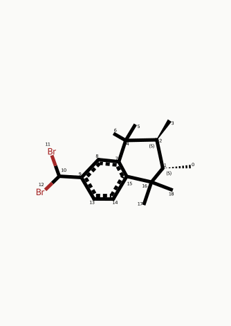 C[C@H]1[C@H](C)C(C)(C)c2cc(C(Br)Br)ccc2C1(C)C